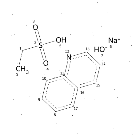 CCS(=O)(=O)O.[Na+].[OH-].c1ccc2ncccc2c1